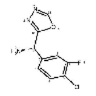 N[C@@H](c1ccc(Cl)c(F)c1)c1nnco1